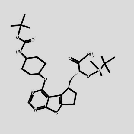 CC(C)(C)OC(=O)NC1CCC(Oc2ncnc3sc4c(c23)[C@@H](C[C@@H](O[Si](C)(C)C(C)(C)C)C(N)=O)CC4)CC1